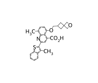 Cc1c(-c2cc(C(=O)O)c3c(OCC4CC5(COC5)C4)ccc(C)c3n2)sc2ccccc12